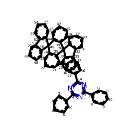 c1ccc(-c2nc(-c3ccccc3)nc(-c3cccc(-c4cccc5c4C4(c6ccccc6-c6ccccc64)c4ccccc4C54c5ccccc5-c5ccccc54)c3)n2)cc1